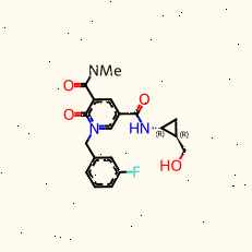 CNC(=O)c1cc(C(=O)N[C@@H]2C[C@H]2CO)cn(Cc2cccc(F)c2)c1=O